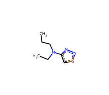 CCCN(CC)c1csnn1